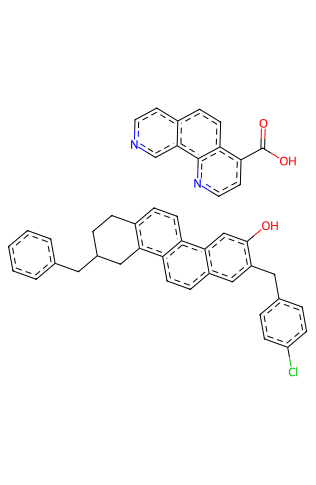 O=C(O)c1ccnc2c1ccc1ccncc12.Oc1cc2c(ccc3c4c(ccc32)CCC(Cc2ccccc2)C4)cc1Cc1ccc(Cl)cc1